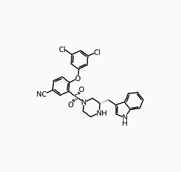 N#Cc1ccc(Oc2cc(Cl)cc(Cl)c2)c(S(=O)(=O)N2CCN[C@@H](Cc3c[nH]c4ccccc34)C2)c1